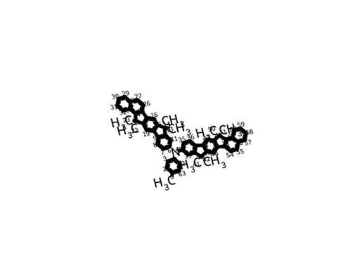 Cc1ccc(N(c2ccc3c(c2)C(C)(C)c2cc4c(cc2-3)C(C)(C)c2c-4ccc3ccccc23)c2ccc3c(c2)C(C)(C)c2cc4c(cc2-3)C(C)(C)c2c-4ccc3ccccc23)cc1